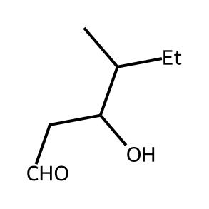 CCC(C)C(O)CC=O